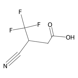 N#CC(CC(=O)O)C(F)(F)F